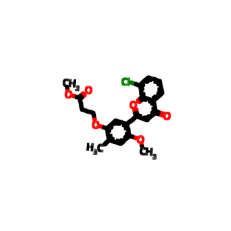 COC(=O)CCOc1cc(-c2cc(=O)c3cccc(Cl)c3o2)c(OC)cc1C